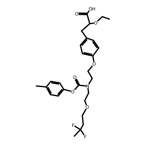 CCOC(Cc1ccc(OCCN(CCOCCC(C)(F)F)C(=O)Oc2ccc(C)cc2)cc1)C(=O)O